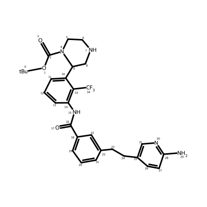 CC(C)(C)OC(=O)N1CCNCC1c1cccc(NC(=O)c2cccc(CCc3ccc(N)nc3)c2)c1C(F)(F)F